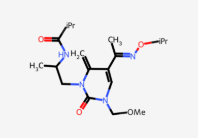 C=C1C(/C(C)=N/OC(C)C)=CN(COC)C(=O)N1CC(C)NC(=O)C(C)C